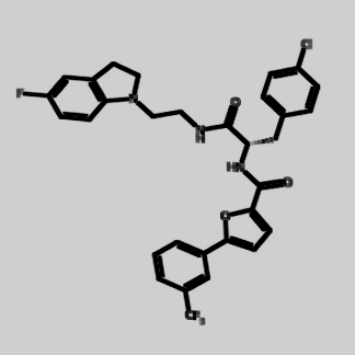 O=C(N[C@@H](Cc1ccc(Cl)cc1)C(=O)NCCN1CCc2cc(F)ccc21)c1ccc(-c2cccc(C(F)(F)F)c2)o1